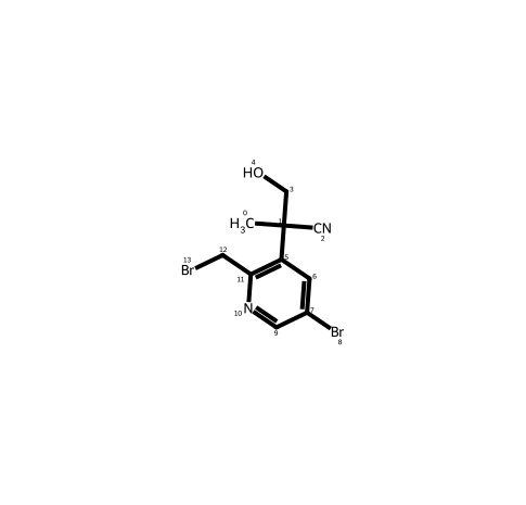 CC(C#N)(CO)c1cc(Br)cnc1CBr